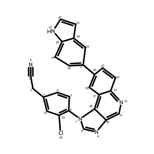 N#CCc1ccc(-n2cnc3cnc4ccc(-c5ccc6[nH]ccc6c5)cc4c32)c(Cl)c1